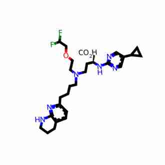 O=C(O)[C@H](CCN(CCCCc1ccc2c(n1)NCCC2)CCOCC(F)F)Nc1ncc(C2CC2)cn1